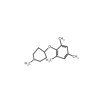 [CH2]N1CCC(Oc2c(C)cc(C)cc2C)CC1